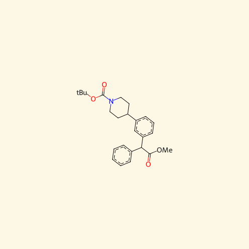 COC(=O)C(c1ccccc1)c1cccc(C2CCN(C(=O)OC(C)(C)C)CC2)c1